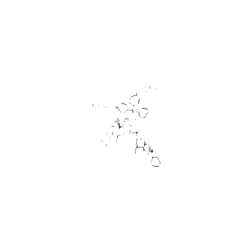 COc1ccc(C(OC[C@H]2O[C@@H](n3cc(I)c(NC(=O)c4ccccc4)nc3=O)[C@H](OC)[C@@H]2OP(OCCC#N)N(C(C)C)C(C)C)(c2ccccc2)c2ccc(OC)cc2)cc1